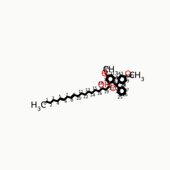 CCCCCC=CCC=CCCCCCCCC(O)CCOC(c1ccccc1)(c1ccc(OC)cc1)c1ccc(OC)cc1